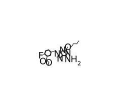 CCCCOc1nc(N)c2ncn(Cc3ccc(F)c(C(=O)OC)c3)c2n1